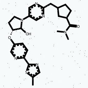 Cc1cnc(-c2ccc(O[C@@H]3CCN(c4cnc(CC5CCC(C(=O)N(C)C)C5)nc4)C3O)cn2)s1